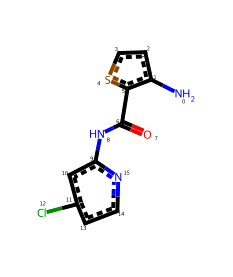 Nc1ccsc1C(=O)Nc1cc(Cl)ccn1